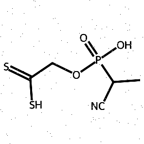 CC(C#N)P(=O)(O)OCC(=S)S